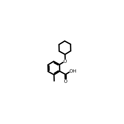 Cc1cccc(OC2CCCCC2)c1C(=O)O